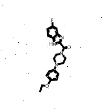 CCOc1ccc(N2CCN(C(=O)c3nc4cc(F)ccc4[nH]3)CC2)cc1